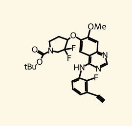 C#Cc1cccc(Nc2ncnc3cc(OC)c(OC4CCN(C(=O)OC(C)(C)C)CC4(F)F)cc23)c1F